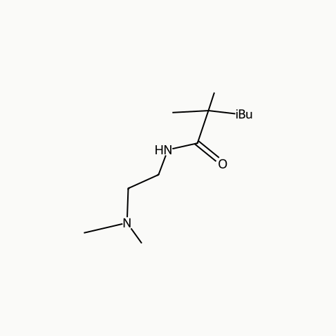 CCC(C)C(C)(C)C(=O)NCCN(C)C